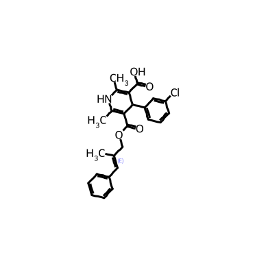 CC1=C(C(=O)O)C(c2cccc(Cl)c2)C(C(=O)OC/C(C)=C/c2ccccc2)=C(C)N1